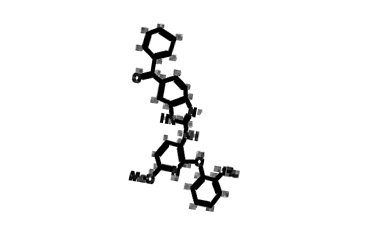 COc1ccc(Nc2nc3ccc(C(=O)c4ccccc4)cc3[nH]2)c(Oc2ccccc2C(C)(C)C)n1